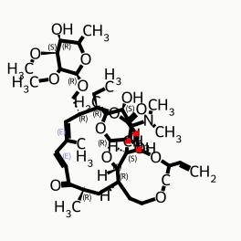 C=CC1COCC[C@H]2C[C@@H](C)C(=O)/C=C/C(C)=C/[C@H](CO[C@@H]3OC(C)[C@@H](O)[C@H](OC)C3OC)[C@@H](CC)OC(=O)C[C@@H](O1)[C@H](C)[C@H]2O[C@@H]1OC(C)[C@@H](O)C(N(C)C)C1O